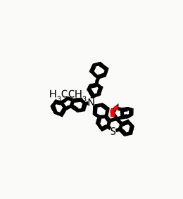 CC1(C)c2ccccc2-c2ccc(N(c3ccc(-c4ccccc4)cc3)c3ccc4c5c(ccc4c3)Sc3ccccc3C53c4ccccc4-c4ccccc43)cc21